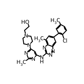 Cc1ccc(Cl)c(-c2cc(C)c3nc(Nc4cc(N5CCN(CCO)CC5)nc(C)n4)nnc3c2)c1